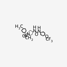 C=S(=O)(c1ccc(C)cc1)N1CCC(NC(=O)Nc2ccc(OC(F)(F)F)cc2)CC1